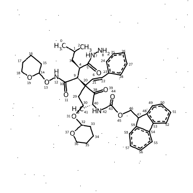 CC(C)C[C@@H](C(=O)NN)[C@H](C(=O)NOC1CCCCO1)C(C=Cc1ccccc1)(CCOC1CCCCO1)C(=O)[C@@H](C)NC(=O)OCC1c2ccccc2-c2ccccc21